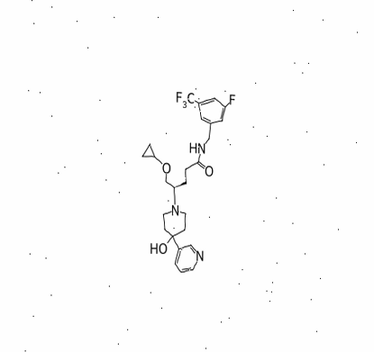 O=C(CC[C@H](COC1CC1)N1CCC(O)(c2cccnc2)CC1)NCc1cc(F)cc(C(F)(F)F)c1